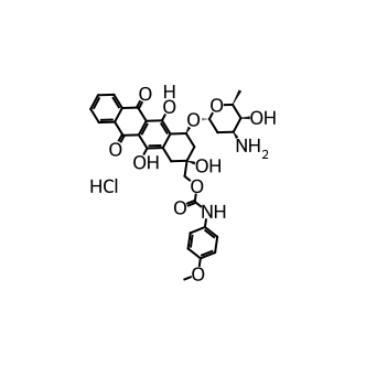 COc1ccc(NC(=O)OC[C@]2(O)Cc3c(O)c4c(c(O)c3[C@@H](O[C@H]3C[C@H](N)[C@H](O)[C@H](C)O3)C2)C(=O)c2ccccc2C4=O)cc1.Cl